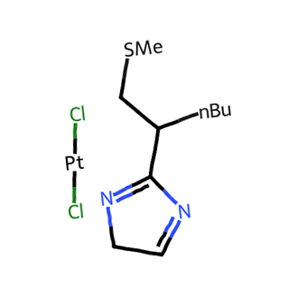 CCCCC(CSC)C1=NCC=N1.[Cl][Pt][Cl]